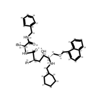 CC[C@H](C)[C@H](NC(=O)[C@@H](C[C@H](O)[C@H](COCc1cccc2ccccc12)NCC1CCCCC1)C(C)C)C(=O)NCc1ccccc1